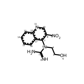 N=C(N)N(CCO)c1c([N+](=O)[O-])cnc2ccccc12